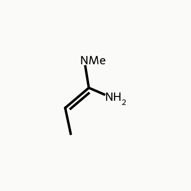 CC=C(N)NC